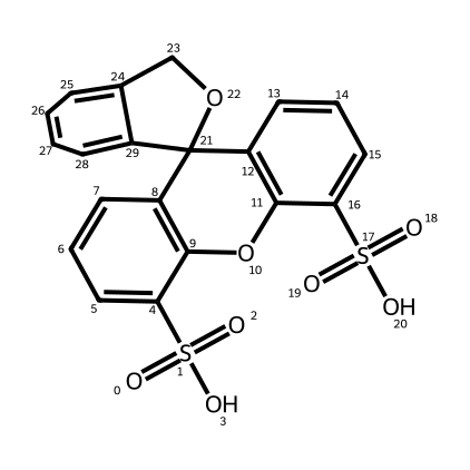 O=S(=O)(O)c1cccc2c1Oc1c(cccc1S(=O)(=O)O)C21OCc2ccccc21